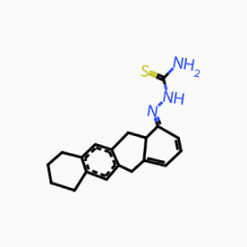 NC(=S)NN=C1C=CC=C2Cc3cc4c(cc3CC21)CCCC4